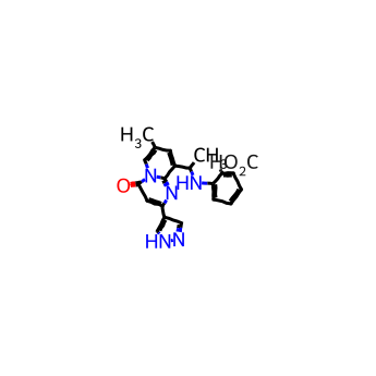 Cc1cc(C(C)Nc2ccccc2C(=O)O)c2nc(-c3cn[nH]c3)cc(=O)n2c1